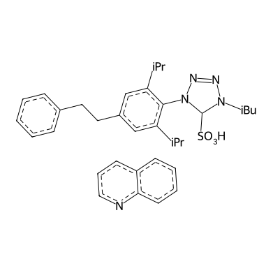 CCC(C)N1N=NN(c2c(C(C)C)cc(CCc3ccccc3)cc2C(C)C)C1S(=O)(=O)O.c1ccc2ncccc2c1